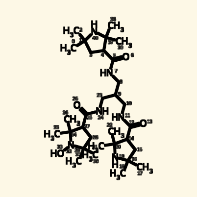 CC1(C)CC(C(=O)NCC(CNC(=O)C2CC(C)(C)NC2(C)C)CNC(=O)C2CC(C)(C)N(O)C2(C)C)C(C)(C)N1